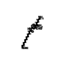 CCCCCCCCCCCCCCCCCCCCCC(=O)N[C@@H](CC([C]=O)C(=O)[C@@H](N)CCCCN)C(=O)O